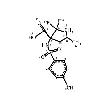 Cc1ccc(S(=O)(=O)NC(CC(C)C)(C(=O)O)C(F)(F)F)cc1